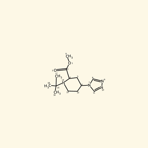 COC(=O)C1CC(n2cnnc2)CCN1C(C)(C)C